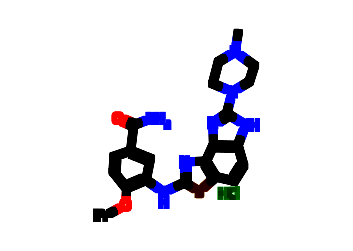 CC(C)Oc1ccc(C(N)=O)cc1Nc1nc2c(ccc3[nH]c(N4CCN(C)CC4)nc32)s1.Cl